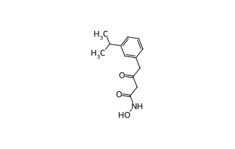 CC(C)c1cccc(CC(=O)CC(=O)NO)c1